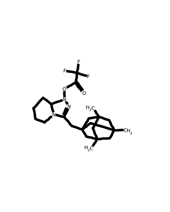 CC12CC3(C)CC(C)(C1)CC(CC1=NN(OC(=O)C(F)(F)F)C4CCCCN14)(C2)C3